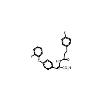 O=C(CCc1ccc(F)cc1)N/C(=C\c1ccc(Oc2ccccc2I)cc1)C(=O)O